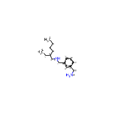 CCCCC(CC)CNCc1cccc(CN)c1